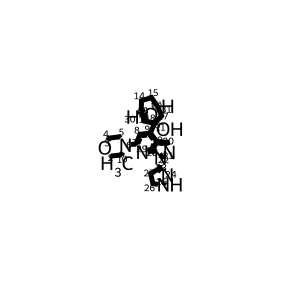 CC1COCCN1c1cc(C2(O)C[C@H]3CC[C@@H](C2)O3)c2cnn(C3=NNCC3)c2n1